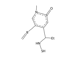 C=Bc1cn(C)c(=O)cc1C(CC)NS